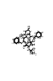 CC(C)(C)[N+]1(C(=O)[C@@H](O)[C@H](Cc2ccccc2)NC(=O)[C@H](CC(N)=O)NC(=O)OCc2ccccc2)C[C@@H](Cl)C[C@H]1C(N)=O